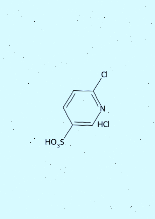 Cl.O=S(=O)(O)c1ccc(Cl)nc1